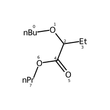 CCCCOC(CC)C(=O)OCCC